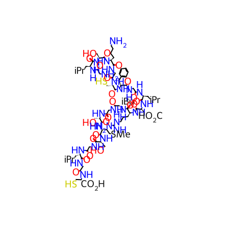 CC[C@H](C)[C@H](NC(=O)[C@H](CCCNC(=N)N)NC(=O)[C@H](CC(=O)O)NC(=O)[C@H](CC(C)C)NC(=O)CNC(=O)[C@H](Cc1ccccc1)NC(=O)[C@H](CS)NC(=O)CNC(=O)[C@H](CCCCN)NC(=O)[C@H](CO)NC(=O)[C@H](CC(C)C)NC(=O)CN)C(=O)NCC(=O)N[C@@H](CO)C(=O)N[C@@H](CCSC)C(=O)N[C@@H](CO)C(=O)NCC(=O)N[C@@H](CC(C)C)C(=O)NCC(=O)N[C@@H](CS)C(=O)O